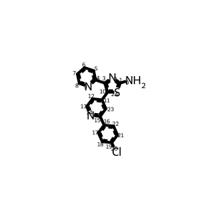 Nc1nc(-c2ccccn2)c(-c2ccnc(-c3ccc(Cl)cc3)c2)s1